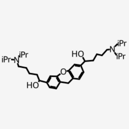 CC(C)N(CCCCC(O)c1ccc2c(c1)Oc1cc(C(O)CCCCN(C(C)C)C(C)C)ccc1C2)C(C)C